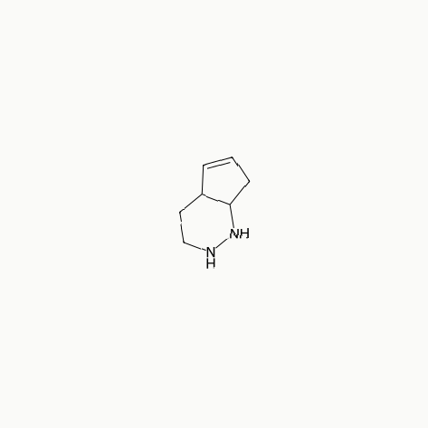 C1=CC2CCNNC2C1